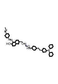 CN=Nc1ccc(N=Nc2c(O)ccc3cc(CO/N=C/ONc4ccc(CCc5ccc(N(c6ccccc6)c6ccccc6)cc5)cc4)ccc23)cc1